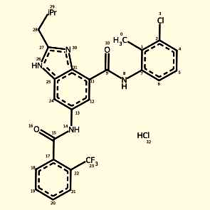 Cc1c(Cl)cccc1NC(=O)c1cc(NC(=O)c2ccccc2C(F)(F)F)cc2[nH]c(CC(C)C)nc12.Cl